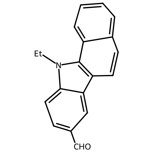 CCn1c2ccc(C=O)cc2c2ccc3ccccc3c21